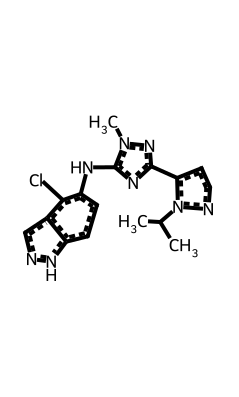 CC(C)n1nccc1-c1nc(Nc2ccc3[nH]ncc3c2Cl)n(C)n1